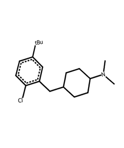 CN(C)C1CCC(Cc2cc(C(C)(C)C)ccc2Cl)CC1